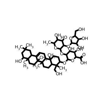 CC1OC(OC2C(OC3CCC4(C)C(CCC5(C)C4CC=C4C6CC(C)(C)CC(O)C6(C)CCC45C)C3(C)CO)OC(C(=O)O)C(O)C2O)C(OC2OC(CO)C(O)C2O)C(O)C1O